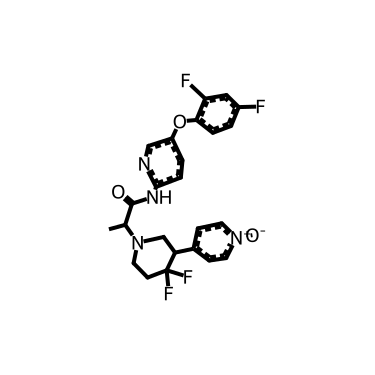 CC(C(=O)Nc1ccc(Oc2ccc(F)cc2F)cn1)N1CCC(F)(F)C(c2cc[n+]([O-])cc2)C1